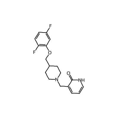 O=c1[nH]cccc1CN1CCC(COc2cc(F)ccc2F)CC1